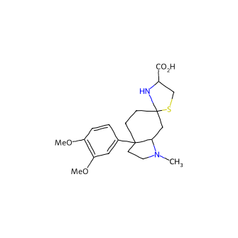 COc1ccc(C23CCN(C)C2CC2(CC3)NC(C(=O)O)CS2)cc1OC